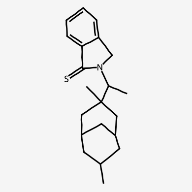 CC1CC2CC(C1)CC(C)(C(C)N1Cc3ccccc3C1=S)C2